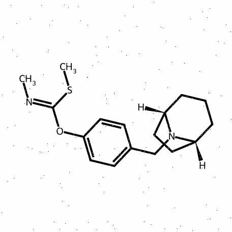 C/N=C(/Oc1ccc(CN2[C@@H]3CCC[C@H]2CC3)cc1)SC